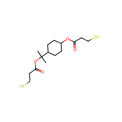 CC(C)(OC(=O)CCS)C1CCC(OC(=O)CCS)CC1